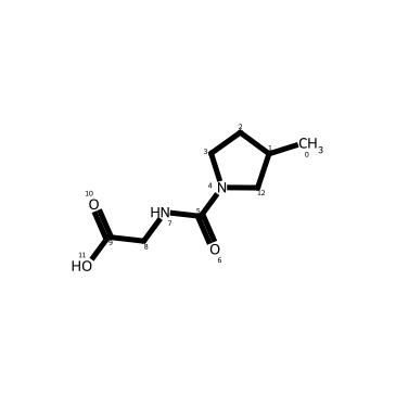 CC1CCN(C(=O)NCC(=O)O)C1